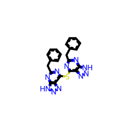 c1ccc(Cc2nc(Sc3nc(Cc4ccccc4)nc4[nH]nnc34)c3nn[nH]c3n2)cc1